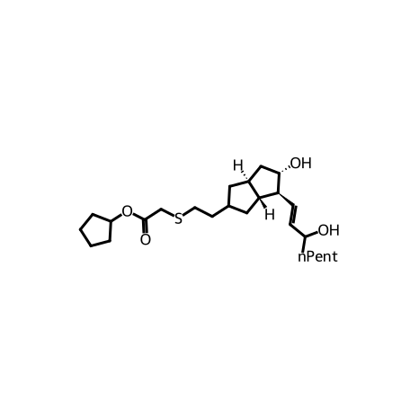 CCCCCC(O)C=C[C@H]1[C@@H]2CC(CCSCC(=O)OC3CCCC3)C[C@H]2C[C@@H]1O